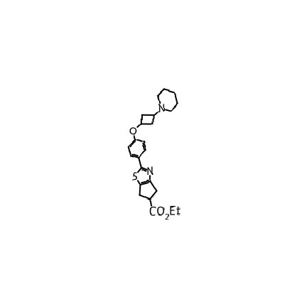 CCOC(=O)C1Cc2nc(-c3ccc(OC4CC(N5CCCCC5)C4)cc3)sc2C1